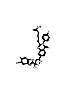 CC1(c2nc3cc(Cl)c(F)cc3[nH]2)CC(c2ccc3c(=O)n(-c4ccc(F)cc4)c(CCCCC(=O)O)nc3c2)=NO1